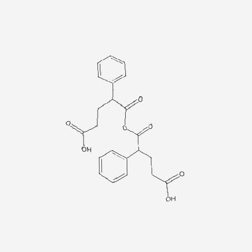 O=C(O)CCC(C(=O)OC(=O)C(CCC(=O)O)c1ccccc1)c1ccccc1